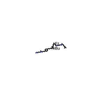 C=C(CCCN(CCCC)CCCCC1CC=C(CC/C=C(\C)CC/C=C/C)CC1)C(CC)C/C=C/CC/C=C(\C)CCC=C(C)C